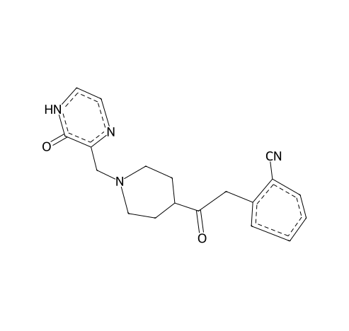 N#Cc1ccccc1CC(=O)C1CCN(Cc2ncc[nH]c2=O)CC1